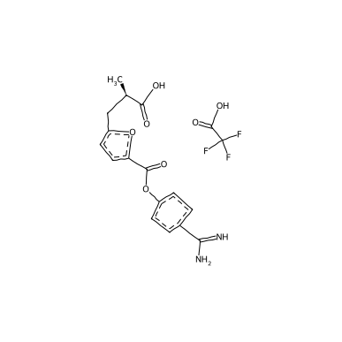 C[C@H](Cc1ccc(C(=O)Oc2ccc(C(=N)N)cc2)o1)C(=O)O.O=C(O)C(F)(F)F